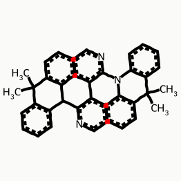 CC1(C)c2ccccc2C(c2ncccc2-c2cccnc2N2c3ccccc3C(C)(C)c3ccccc32)c2ccccc21